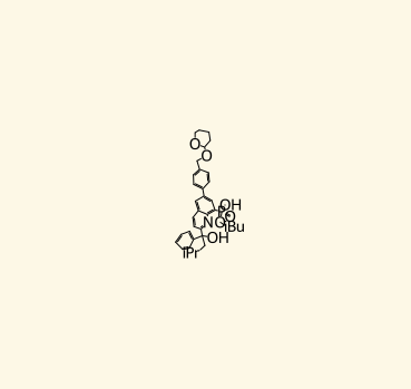 CCC(C)OP(=O)(O)c1cc(-c2ccc(COC3CCCCO3)cc2)cc2ccc(C(O)(CC(C)C)c3ccccc3)nc12